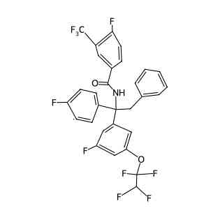 O=C(NC(Cc1ccccc1)(c1c[c]c(F)cc1)c1cc(F)cc(OC(F)(F)C(F)F)c1)c1ccc(F)c(C(F)(F)F)c1